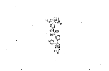 CCn1cc(-c2cccc(NC(=O)Nc3ccc(C(C)(C)C)cc3)c2)c(-c2ccncc2)n1